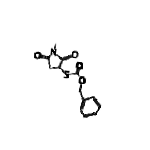 CN1C(=O)CC(SC(=O)OCc2ccccc2)C1=O